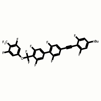 CCCCc1cc(F)c(C#Cc2cc(F)c(-c3cc(F)c(C(F)(F)Oc4cc(F)c(C(F)(F)F)c(F)c4)c(F)c3)c(F)c2)c(F)c1